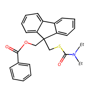 CCN(CC)C(=O)SCC1(COC(=O)c2ccccc2)c2ccccc2-c2ccccc21